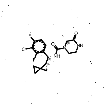 C[C@@H]1C(=O)NCCN1C(=O)N[C@@H](c1ccc(F)c(Cl)c1F)[C@@H]1CC12CC2